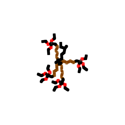 CCO[Si](CSSSSC(C)(CCCC(C)CC)C(SSSSC[Si](OCC)(OCC)OCC)(SSSSC[Si](OCC)(OCC)OCC)SSSSC[Si](OCC)(OCC)OCC)(OCC)OCC